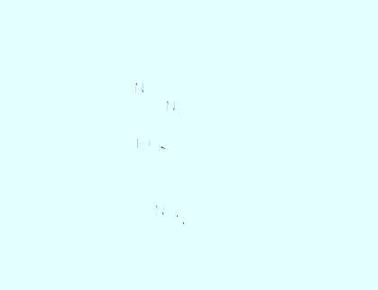 O[C@@H]1c2cnncc2CC[C@H]1C1c2ccccc2-c2cncn21